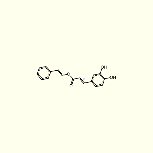 O=C(/C=C/c1ccc(O)c(O)c1)OC=Cc1ccccc1